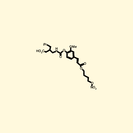 COc1cc(/C=C/C(=O)OCCCCO[N+](=O)[O-])ccc1OC(=O)NCC(CC(=O)O)CC(C)C